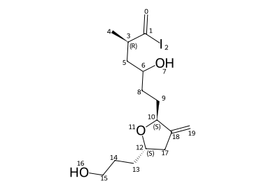 C=C(I)[C@H](C)CC(O)CC[C@@H]1O[C@@H](CCCO)CC1=C